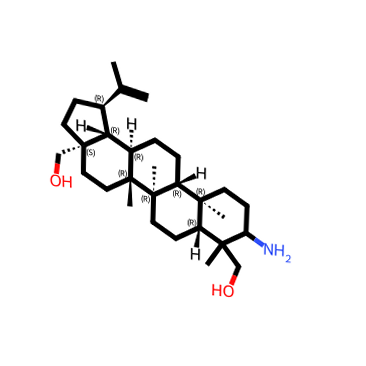 C=C(C)[C@@H]1CC[C@]2(CO)CC[C@]3(C)[C@H](CC[C@@H]4[C@@]5(C)CCC(N)C(C)(CO)[C@@H]5CC[C@]43C)[C@@H]12